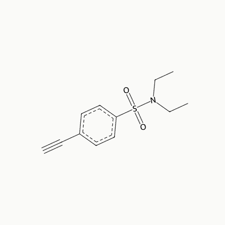 C#Cc1ccc(S(=O)(=O)N(CC)CC)cc1